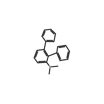 CN(C)c1cccc(-c2ccccc2)c1-c1ccccc1